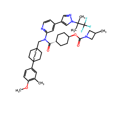 COc1ccc(C23CCC(CN(c4cc(-c5cnn(C(C)(C)C(F)(F)F)c5)ccn4)C(=O)[C@H]4CC[C@H](OC(=O)N5CC(C)C5)CC4)(CC2)CC3)cc1C